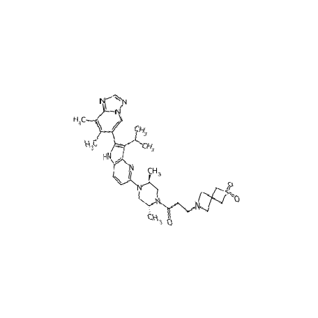 Cc1c(-c2[nH]c3ccc(N4C[C@@H](C)N(C(=O)CCN5CC6(C5)CS(=O)(=O)C6)C[C@@H]4C)nc3c2C(C)C)cn2ncnc2c1C